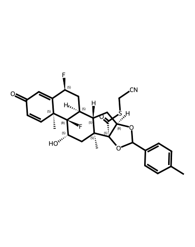 Cc1ccc(C2O[C@@H]3C[C@H]4[C@@H]5C[C@H](F)C6=CC(=O)C=C[C@]6(C)[C@@]5(F)[C@@H](O)C[C@]4(C)[C@]3(C(=O)SCC#N)O2)cc1